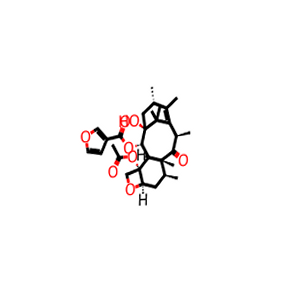 CC(=O)O[C@@]12CO[C@@H]1C[C@H](C)[C@@]1(C)C(=O)[C@H](C)C3=C(C)[C@@H](C)C[C@@](O)([C@@H](OC(=O)c4ccoc4)[C@H]21)C3(C)C